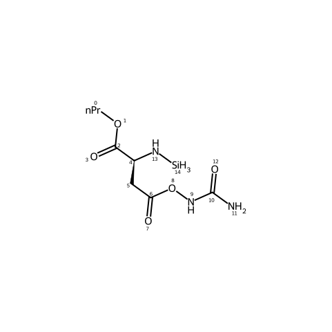 CCCOC(=O)[C@H](CC(=O)ONC(N)=O)N[SiH3]